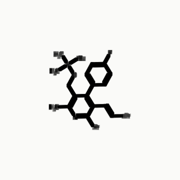 CCCC=Cc1c(C(C)C)nc(C)c(CO[Si](C)(C)C(C)(C)C)c1-c1ccc(F)cc1